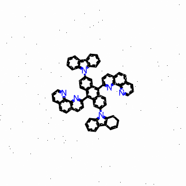 C1=Cc2c(n(-c3ccc4c(-c5ccc6ccc7cccnc7c6n5)c5cc(-n6c7ccccc7c7ccccc76)ccc5c(-c5ccc6ccc7cccnc7c6n5)c4c3)c3ccccc23)CC1